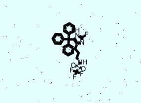 O=S(=O)(NCCCc1nc(F)[nH]c1C(c1ccccc1)(c1ccccc1)c1ccccc1)C(F)(F)F